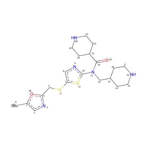 CC(C)(C)c1cnc(CSc2cnc(N(CC3CCNCC3)C(=O)C3CCNCC3)s2)o1